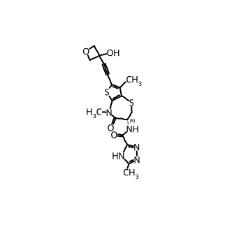 Cc1nnc(C(=O)N[C@H]2CSc3c(sc(C#CC4(O)COC4)c3C)N(C)C2=O)[nH]1